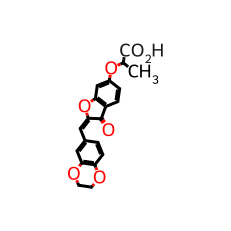 CC(Oc1ccc2c(c1)OC(=Cc1ccc3c(c1)OCCO3)C2=O)C(=O)O